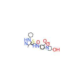 C/N=C(/C)c1cc(C(=O)Nc2ccc(N3CCC(O)CC3)c(C(=O)OC)c2)sc1NC1CCCCC1